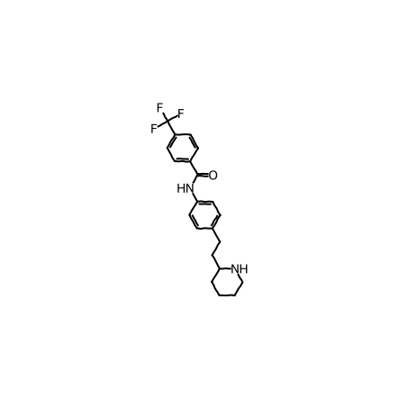 O=C(Nc1ccc(CCC2CCCCN2)cc1)c1ccc(C(F)(F)F)cc1